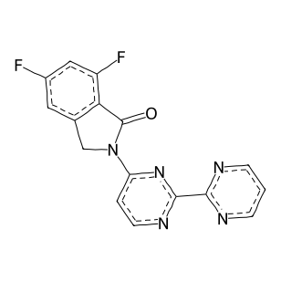 O=C1c2c(F)cc(F)cc2CN1c1ccnc(-c2ncccn2)n1